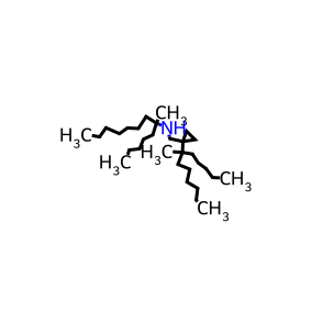 CCCCCCCC(C)(CCCCC)NCC1(C(C)(CCCCC)CCCCCC)CC1